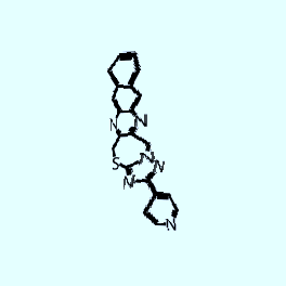 c1ccc2cc3nc4c(nc3cc2c1)CSc1nc(-c2ccncc2)nn1C4